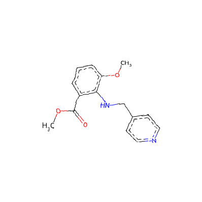 COC(=O)c1cccc(OC)c1NCc1ccncc1